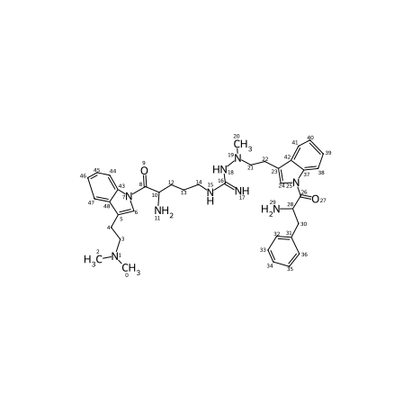 CN(C)CCc1cn(C(=O)C(N)CCCNC(=N)NN(C)CCc2cn(C(=O)C(N)Cc3ccccc3)c3ccccc23)c2ccccc12